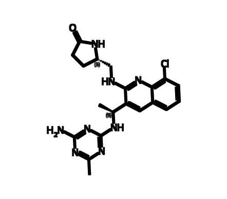 Cc1nc(N)nc(N[C@@H](C)c2cc3cccc(Cl)c3nc2NC[C@@H]2CCC(=O)N2)n1